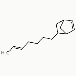 CC=CCCCCC1CC2C=CC1C2